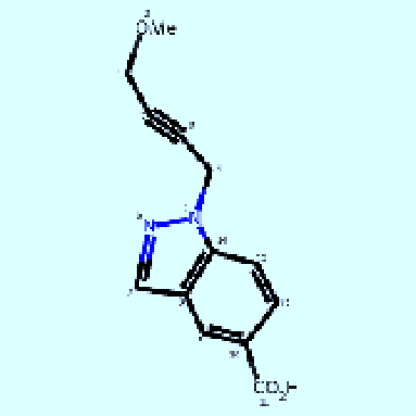 COCC#CCn1ncc2cc(C(=O)O)ccc21